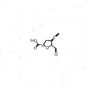 C=C=C1C[C@H](C(=O)O)OC1C=O